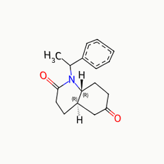 CC(c1ccccc1)N1C(=O)CC[C@@H]2CC(=O)CC[C@H]21